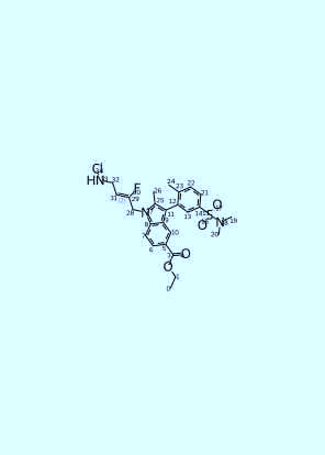 CCOC(=O)c1ccc2c(c1)c(-c1cc(S(=O)(=O)N(C)C)ccc1C)c(C)n2C/C(F)=C/CNCl